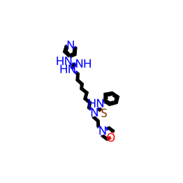 N=C(NCCCCCCCCN(CCCN1CCOCC1)C(=S)Nc1ccccc1)Nc1ccncc1